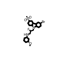 COc1cccc(NCC(F)Cn2c3ccc(Br)cc3c3cc(S(C)(=O)=O)ccc32)c1